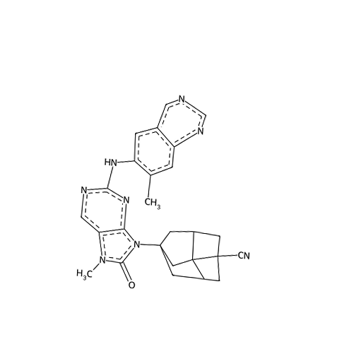 Cc1cc2ncncc2cc1Nc1ncc2c(n1)n(C13CC4CC5(C#N)CC(C1)C45C3)c(=O)n2C